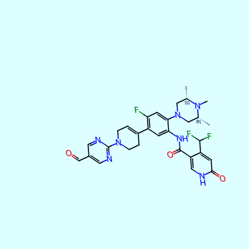 C[C@@H]1CN(c2cc(F)c(C3=CCN(c4ncc(C=O)cn4)CC3)cc2NC(=O)c2c[nH]c(=O)cc2C(F)F)C[C@H](C)N1C